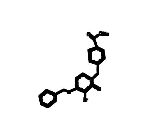 COC(=O)c1ccc(Cn2ccc(OCc3ccccc3)c(Br)c2=O)cc1